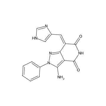 Nc1c2c(nn1-c1ccccc1)/C(=C\c1c[nH]cn1)C(=O)NC2=O